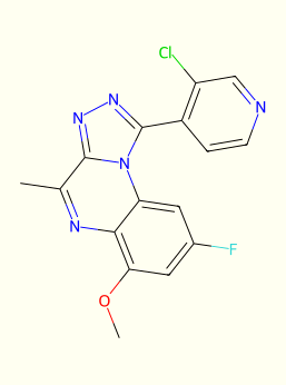 COc1cc(F)cc2c1nc(C)c1nnc(-c3ccncc3Cl)n12